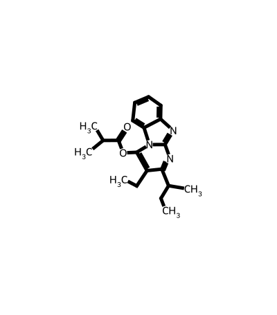 CCc1c(C(C)CC)nc2nc3ccccc3n2c1OC(=O)C(C)C